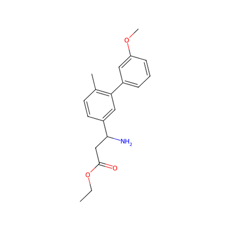 CCOC(=O)CC(N)c1ccc(C)c(-c2cccc(OC)c2)c1